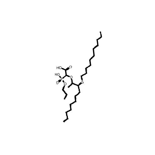 CCCCCCCCCCCSC(CCCCCCCC)C(C)OC(C(=O)O)P(=O)(O)OCCC